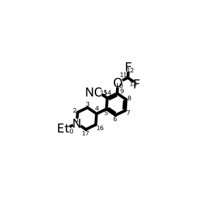 CCN1CCC(c2cccc(OC(F)F)c2C#N)CC1